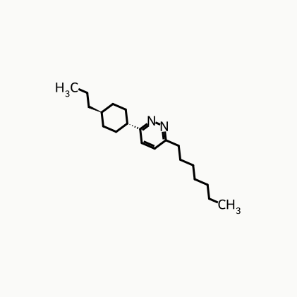 CCCCCCCc1ccc([C@H]2CC[C@H](CCC)CC2)nn1